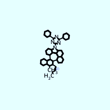 C=C/C=C\c1c2c(c3ccccc3c1C)-c1cccc3c1c1c4c-2cccc4ccc1n3-c1nc(-c2ccccc2)nc(-c2ccccc2)n1